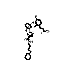 O=C(O)CCc1ccc(F)cc1C[C@@H]1[C@H](c2nc(C(=O)NCCCCC3CCCCC3)co2)[C@H]2CC[C@@H]1O2